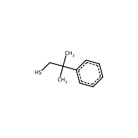 CC(C)(CS)c1ccccc1